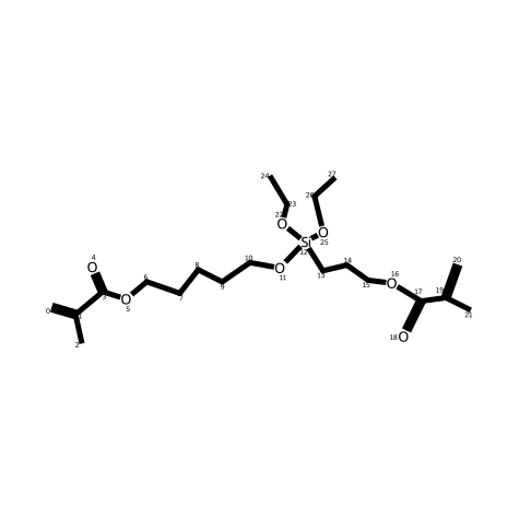 C=C(C)C(=O)OCCCCCO[Si](CCCOC(=O)C(=C)C)(OCC)OCC